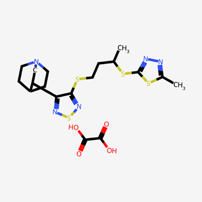 Cc1nnc(SC(C)CCSc2nsnc2C2CN3CCC2CC3)s1.O=C(O)C(=O)O